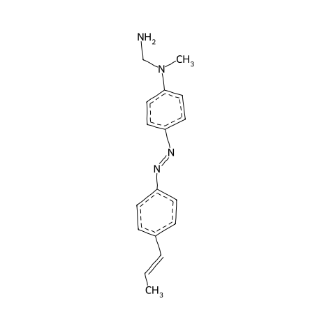 CC=Cc1ccc(N=Nc2ccc(N(C)CN)cc2)cc1